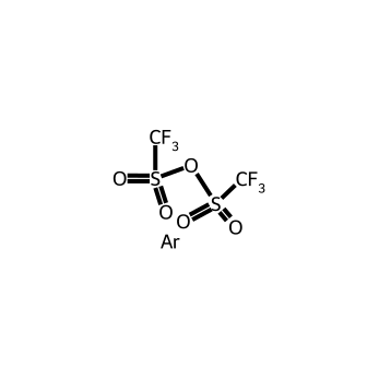 O=S(=O)(OS(=O)(=O)C(F)(F)F)C(F)(F)F.[Ar]